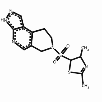 CC1=NC(C)C(S(=O)(=O)N2CCc3c(cnc4[nH]ncc34)C2)S1